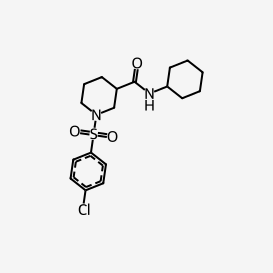 O=C(NC1CCCCC1)C1CCCN(S(=O)(=O)c2ccc(Cl)cc2)C1